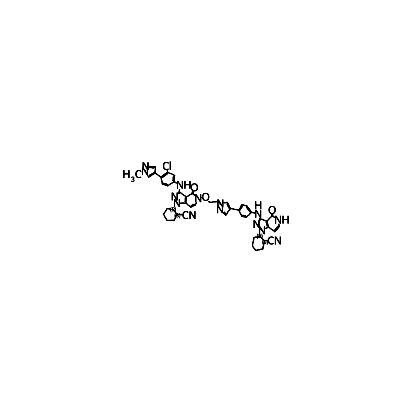 Cn1cc(-c2ccc(Nc3nn([C@H]4CCCC[C@@H]4C#N)c4ccn(OCCn5cc(-c6ccc(Nc7nn([C@H]8CCCC[C@@H]8C#N)c8cc[nH]c(=O)c78)cc6)cn5)c(=O)c34)cc2Cl)cn1